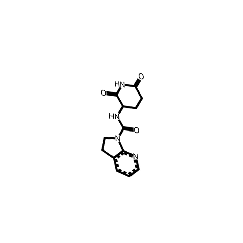 O=C1CCC(NC(=O)N2CCc3cccnc32)C(=O)N1